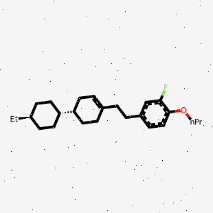 CCCOc1ccc(CCC2=CCC([C@H]3CC[C@H](CC)CC3)CC2)cc1F